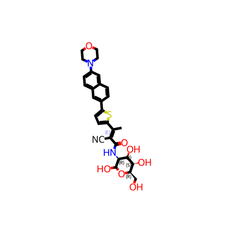 C/C(=C(/C#N)C(=O)N[C@H]1C(O)O[C@H](CO)[C@@H](O)[C@@H]1O)c1ccc(-c2ccc3cc(N4CCOCC4)ccc3c2)s1